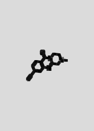 C#Cc1ccc2c(=O)n3c(nc2c1)CN(C)CC3